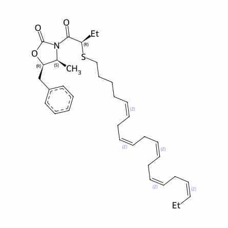 CC/C=C\C/C=C\C/C=C\C/C=C\C/C=C\CCCCS[C@H](CC)C(=O)N1C(=O)O[C@H](Cc2ccccc2)[C@@H]1C